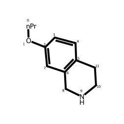 CCCOc1ccc2c(c1)CNCC2